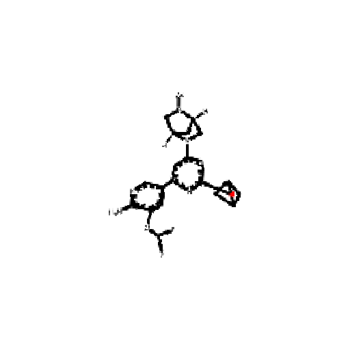 CC(=O)N1C[C@@H]2C[C@H]1CN2c1cc(-c2cnc(N)c(OC(F)F)c2)nc(N2CC3CC2C3)n1